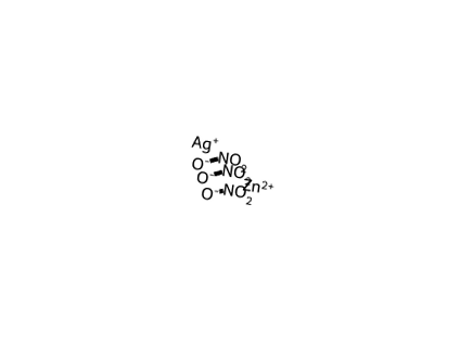 O=[N+]([O-])[O-].O=[N+]([O-])[O-].O=[N+]([O-])[O-].[Ag+].[Zn+2]